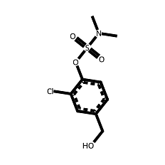 CN(C)S(=O)(=O)Oc1ccc(CO)cc1Cl